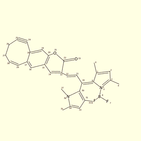 CC1=CC(C)=[N+](B(F)F)/C1=C(/C=C/c1cc2cc3c(cc2oc1=O)C#CCC/C=C\3)c1c(C)cc(C)n1C